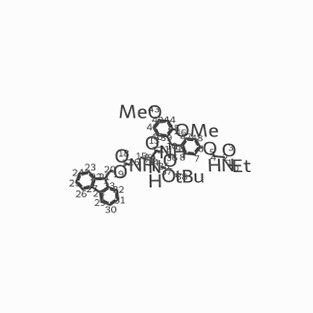 CCNC(=O)COc1ccc(C(NC(=O)[C@H](CNC(=O)OCC2c3ccccc3-c3ccccc32)NC(=O)OC(C)(C)C)c2ccc(OC)cc2OC)cc1